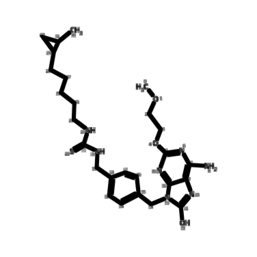 COCCOc1nc(N)c2nc(O)n(Cc3ccc(CNC(=S)NCCCCCC4CC4C)cc3)c2n1